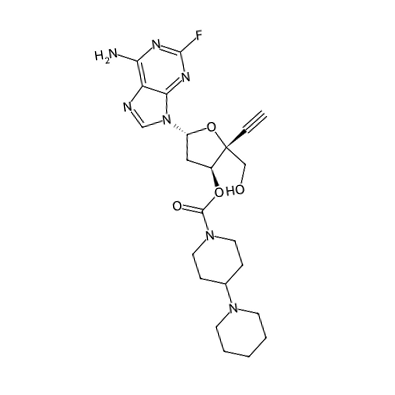 C#C[C@]1(CO)O[C@@H](n2cnc3c(N)nc(F)nc32)C[C@@H]1OC(=O)N1CCC(N2CCCCC2)CC1